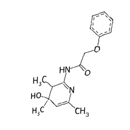 CC1=CC(C)(O)C(C)C(NC(=O)COc2ccccc2)=N1